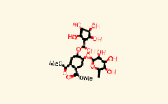 COC(=O)C1CC(OC(O)C2C(O)C(O)C(O)C2O)C(OC2OC(C)C(O)C(O)C2O)CC1C(=O)OC